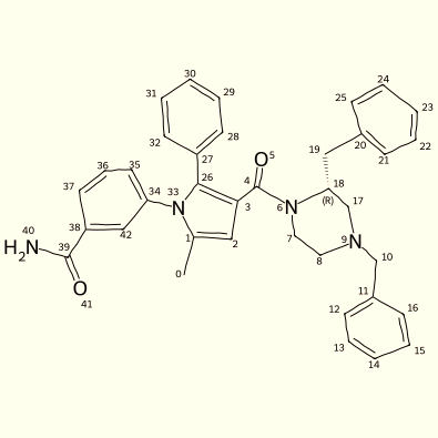 Cc1cc(C(=O)N2CCN(Cc3ccccc3)C[C@H]2Cc2ccccc2)c(-c2ccccc2)n1-c1cccc(C(N)=O)c1